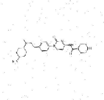 CN(CCc1ccc(-n2ccc(NC(=O)N3CCNCC3)nc2=O)cc1)C1CCC(N)CC1